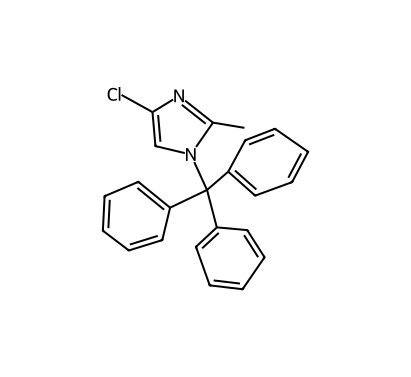 Cc1nc(Cl)cn1C(c1ccccc1)(c1ccccc1)c1ccccc1